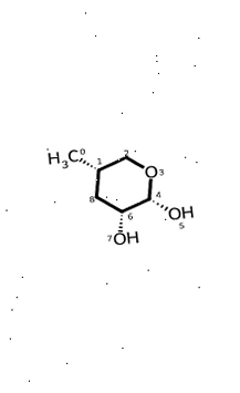 C[C@@H]1CO[C@H](O)[C@H](O)C1